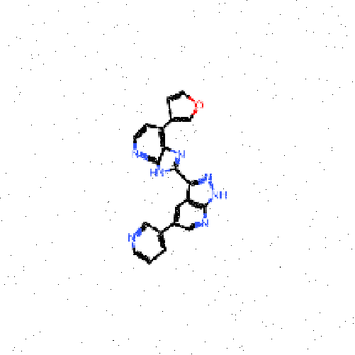 c1cncc(-c2cnc3[nH]nc(-c4nc5c(-c6ccoc6)ccnc5[nH]4)c3c2)c1